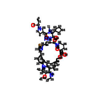 C=CC(=O)N1CCC(C(=O)N(C)[C@H](C(=O)N[C@H]2Cc3nc(cs3)-c3ccc4c(c3)c(c(/C(C=C)=C(/N=C\C)[C@H](C)OC)n4CC)CC(C)(C)COC(=O)[C@@H]3CCCN(O3)C2=O)C2CCCC2)C1